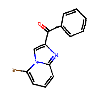 O=C(c1ccccc1)c1cn2c(Br)cccc2n1